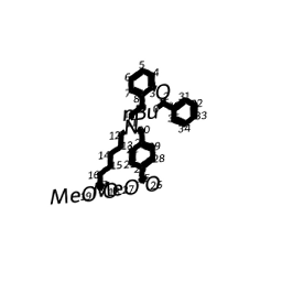 CCCCC(Oc1ccccc1CCN(CCCCCC(=O)OC)Cc1ccc(C(=O)OC)cc1)c1ccccc1